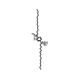 CCCCCCCCCCCCCCC(NCC)c1ccc(C(CCCCCCCCCCCCCC)NCC)cc1